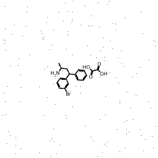 CC(N)CC(c1ccccc1)c1cccc(Br)c1.O=C(O)C(=O)O